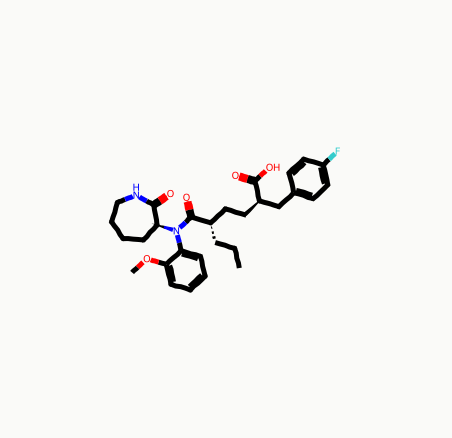 CCC[C@@H](CC[C@H](Cc1ccc(F)cc1)C(=O)O)C(=O)N(c1ccccc1OC)[C@H]1CCCCNC1=O